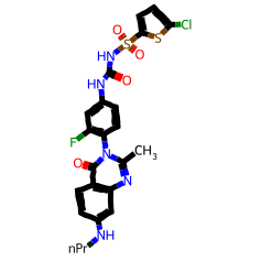 CCCNc1ccc2c(=O)n(-c3ccc(NC(=O)NS(=O)(=O)c4ccc(Cl)s4)cc3F)c(C)nc2c1